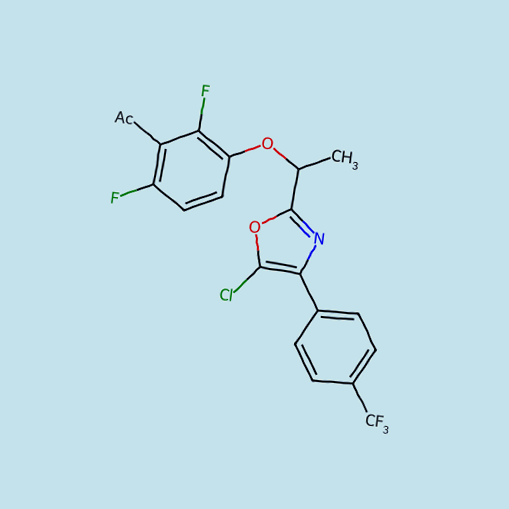 CC(=O)c1c(F)ccc(OC(C)c2nc(-c3ccc(C(F)(F)F)cc3)c(Cl)o2)c1F